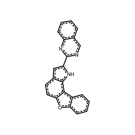 c1ccc2nc(-c3cc4ccc5oc6ccccc6c5c4[nH]3)ncc2c1